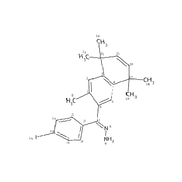 Cc1cc2c(cc1/C(=N/N)c1ccc(I)cc1)C(C)(C)C=CC2(C)C